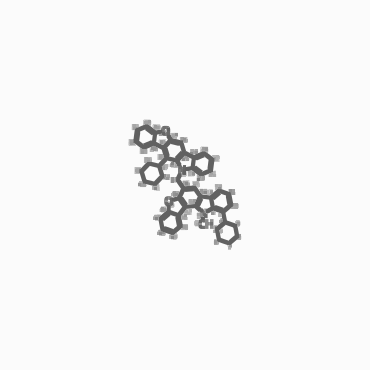 Cn1c2c(C3CCCCC3)cccc2c2cc(Cn3c4ccccc4c4cc5oc6ccccc6c5c(C5CCCCC5)c43)c3oc4ccccc4c3c21